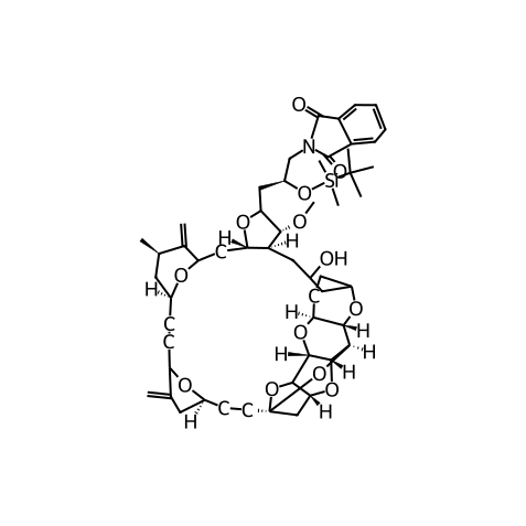 C=C1C[C@@H]2CC[C@@]34C[C@H]5O[C@H]6[C@@H](O3)[C@H]3OC(CC[C@@H]3O[C@H]6C5O4)CC(O)C[C@H]3[C@H](CC4O[C@@H](CCC1O2)C[C@@H](C)C4=C)OC(C[C@@H](CN1C(=O)c2ccccc2C1=O)O[Si](C)(C)C(C)(C)C)[C@@H]3OC